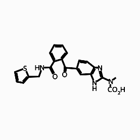 CN(C(=O)O)c1nc2ccc(C(=O)c3ccccc3C(=O)NCc3cccs3)cc2[nH]1